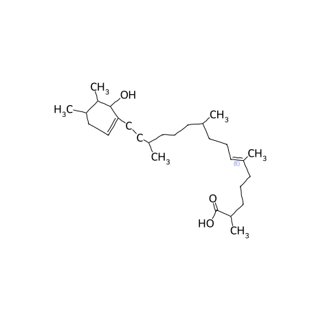 C/C(=C\CCC(C)CCCC(C)CCC1=CCC(C)C(C)C1O)CCCC(C)C(=O)O